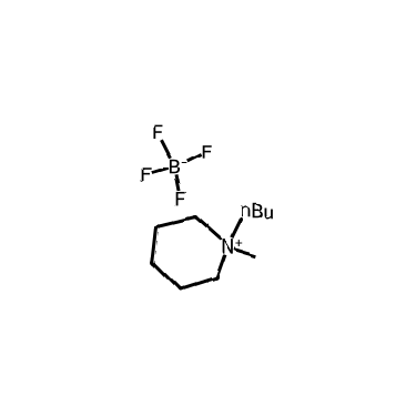 CCCC[N+]1(C)CCCCC1.F[B-](F)(F)F